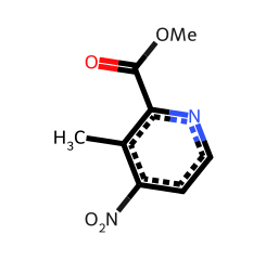 COC(=O)c1nccc([N+](=O)[O-])c1C